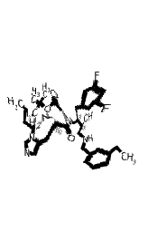 CCCCn1cncc1C[C@H](N)C(=O)N(C(=O)OC(C)(C)C)[C@@H](Cc1cc(F)cc(F)c1)[C@H](O)CNCc1cccc(CC)c1